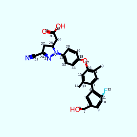 Cc1cc(-c2cc(CO)ccc2F)c(C)cc1Oc1ccc(N2N=C(C#N)CC2CC(=O)O)cc1